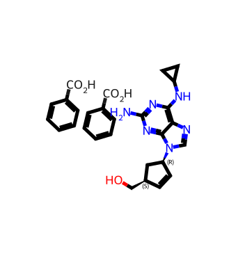 Nc1nc(NC2CC2)c2ncn([C@H]3C=C[C@@H](CO)C3)c2n1.O=C(O)c1ccccc1.O=C(O)c1ccccc1